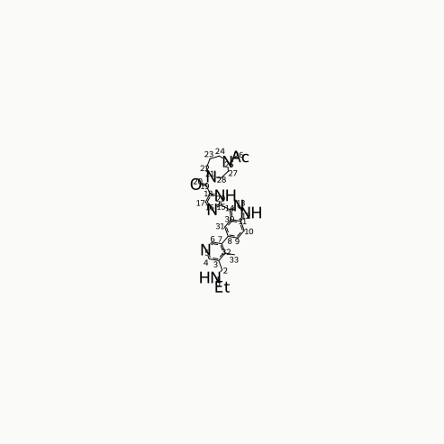 CCNCc1cncc(-c2ccc3[nH]nc(-c4ncc(C(=O)N5CCCN(C(C)=O)CC5)[nH]4)c3c2)c1C